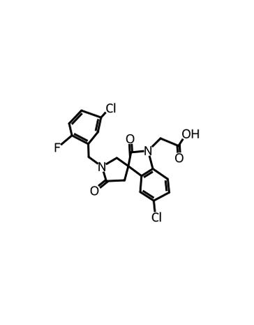 O=C(O)CN1C(=O)C2(CC(=O)N(Cc3cc(Cl)ccc3F)C2)c2cc(Cl)ccc21